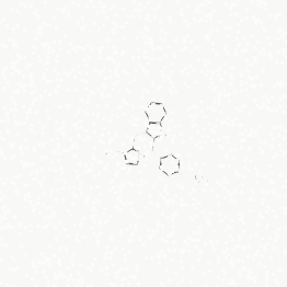 COc1ccc(C2c3[nH]c4ccccc4c3Cc3c(OC(=O)O)ccn32)cc1